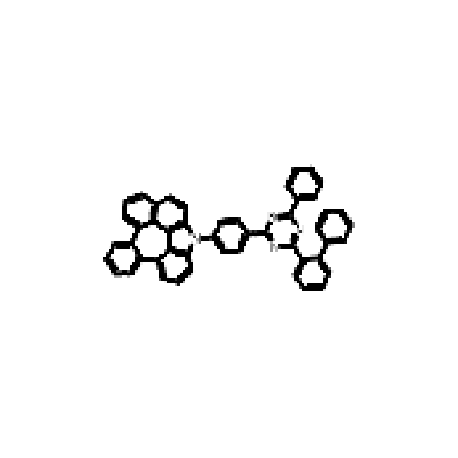 c1ccc(-c2nc(-c3ccc(-n4c5cccc6c5c5c7c(cccc7ccc54)-c4ccccc4-6)cc3)nc(-c3ccccc3-c3ccccc3)n2)cc1